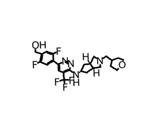 OCc1cc(F)c(-c2cc(C(F)(F)F)c(N[C@H]3C[C@@H]4CN(CC5CCOCC5)C[C@@H]4C3)nn2)cc1F